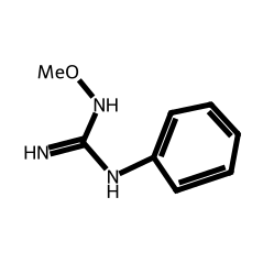 CONC(=N)Nc1ccccc1